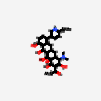 CNC(=O)C1=C(O)C(N(C)C)C2CC3Cc4c(-c5ccc(NC(C)=O)nc5)ccc(O)c4C(=O)C3=C(O)C2(O)C1=O